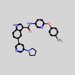 Cc1ccc(Oc2ccc(NC(=O)c3c[nH]c4ccc(-c5cncc(N6CCCC6)c5)cc34)cn2)cc1